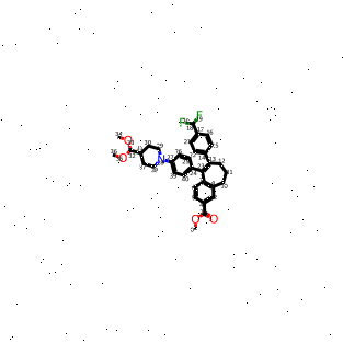 COC(=O)c1ccc2c(c1)CCCC(c1ccc(C(F)F)cc1)=C2c1ccc(N2CCC(C(OC)OC)CC2)cc1